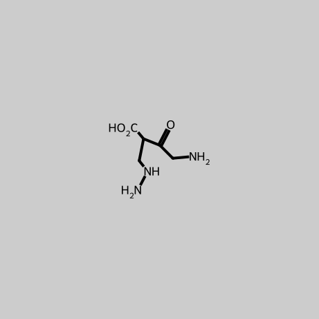 NCC(=O)C(CNN)C(=O)O